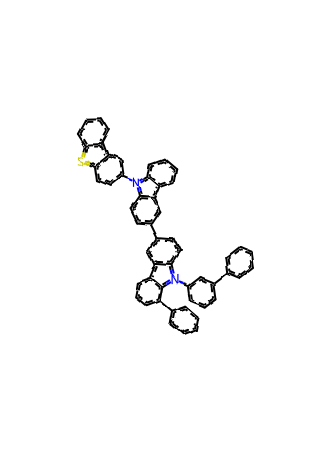 c1ccc(-c2cccc(-n3c4ccc(-c5ccc6c(c5)c5ccccc5n6-c5ccc6sc7ccccc7c6c5)cc4c4cccc(-c5ccccc5)c43)c2)cc1